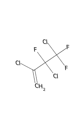 C=C(Cl)C(F)(Cl)C(F)(F)Cl